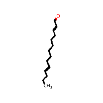 CCCC=CCCCCCCC=CC=O